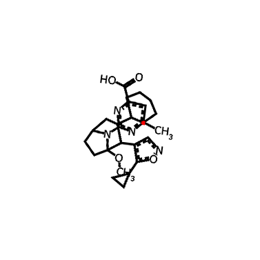 COC12CCC(CC(C3CCCCC3)C1c1cnoc1C1CC1)N2c1nc(C)cc(C(=O)O)n1